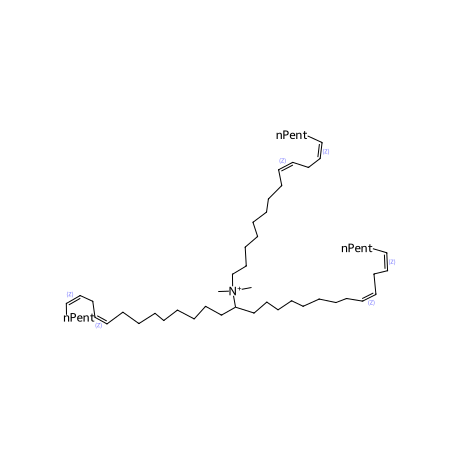 CCCCC/C=C\C/C=C\CCCCCCCCC(CCCCCCCC/C=C\C/C=C\CCCCC)[N+](C)(C)CCCCCCCC/C=C\C/C=C\CCCCC